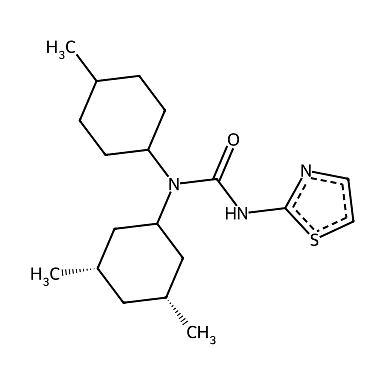 CC1CCC(N(C(=O)Nc2nccs2)C2C[C@@H](C)C[C@@H](C)C2)CC1